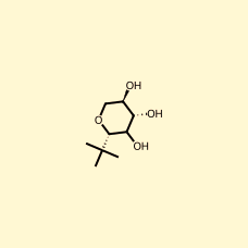 CC(C)(C)[C@@H]1OC[C@@H](O)[C@H](O)C1O